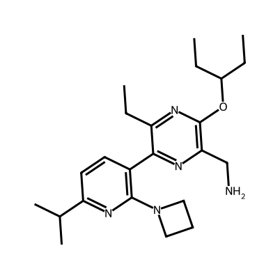 CCc1nc(OC(CC)CC)c(CN)nc1-c1ccc(C(C)C)nc1N1CCC1